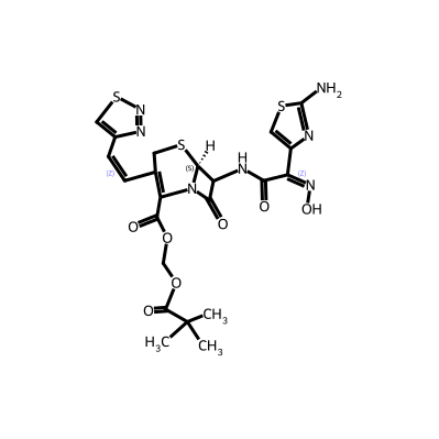 CC(C)(C)C(=O)OCOC(=O)C1=C(/C=C\c2csnn2)CS[C@H]2C(NC(=O)/C(=N\O)c3csc(N)n3)C(=O)N12